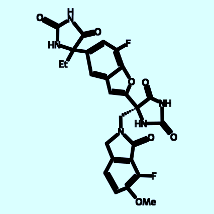 CCC1(c2cc(F)c3oc([C@]4(CN5Cc6ccc(OC)c(F)c6C5=O)NC(=O)NC4=O)cc3c2)NC(=O)NC1=O